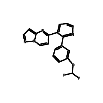 FC(F)Oc1cccc(-c2ncccc2-c2ccn3nccc3n2)c1